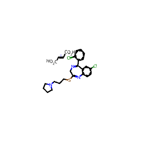 Clc1ccc2c(c1)C(c1ccccc1Cl)=NCC(SCCCN1CCCC1)=N2.O=C(O)/C=C/C(=O)O